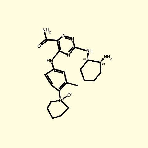 NC(=O)c1nnc(N[C@@H]2CCCC[C@@H]2N)nc1Nc1ccc([N+]2([O-])CCCCC2)c(F)c1